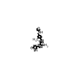 Cc1cc(CN[C@H]2CCOC2)ccc1-c1nnc(-c2nc(-c3ccc(=O)n(C(C)C)c3)cnc2N)o1